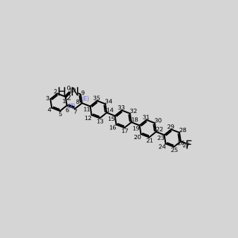 C=c1cccc/c1=C/C(=C\N)c1ccc(-c2ccc(-c3ccc(-c4ccc(F)cc4)cc3)cc2)cc1